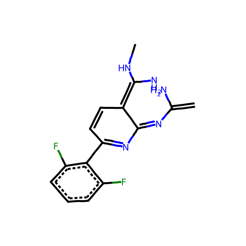 C=C(N)/N=C1/N=C(c2c(F)cccc2F)C=C/C1=C(/N)NC